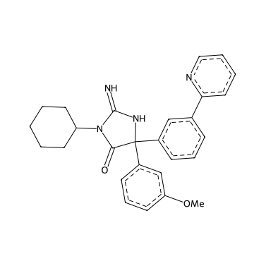 COc1cccc(C2(c3cccc(-c4ccccn4)c3)NC(=N)N(C3CCCCC3)C2=O)c1